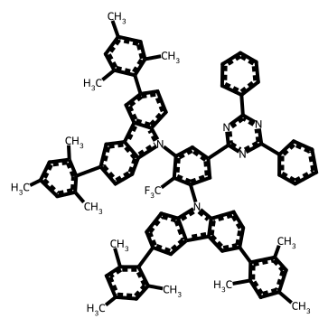 Cc1cc(C)c(-c2ccc3c(c2)c2cc(-c4c(C)cc(C)cc4C)ccc2n3-c2cc(-c3nc(-c4ccccc4)nc(-c4ccccc4)n3)cc(-n3c4ccc(-c5c(C)cc(C)cc5C)cc4c4cc(-c5c(C)cc(C)cc5C)ccc43)c2C(F)(F)F)c(C)c1